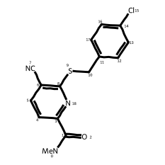 CNC(=O)c1ccc(C#N)c(SCc2ccc(Cl)cc2)n1